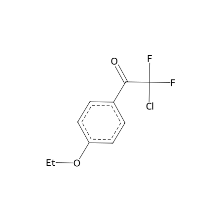 CCOc1ccc(C(=O)C(F)(F)Cl)cc1